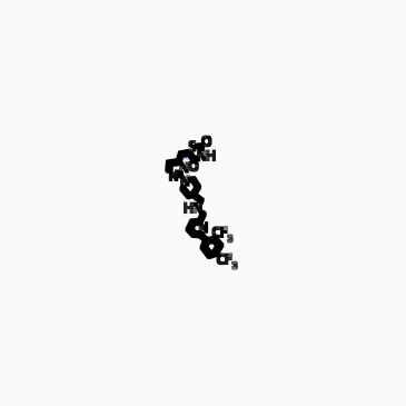 O=C1NC(=O)/C(=C\c2ccnc(N3CCC(CNCc4cccc(-c5ccc(C(F)(F)F)cc5C(F)(F)F)n4)CC3)n2)S1